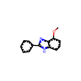 COc1cccc2[nH]c(-c3ccccc3)nc12